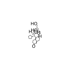 C[C@]12C[C@H](C3CCCC3)C3=C4CCC(=O)C=C4CC[C@H]3[C@@H]1CC[C@@]2(O)CCCO